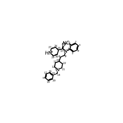 N#Cc1ccccc1N(CCC1CCN(Cc2ccccc2)CC1)C(=O)C1CCNCC1